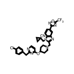 N#CC1(Cn2c(CN3CCC(Oc4ccnc(Cc5ccc(Cl)cc5)n4)CC3)nc3cc(-c4noc(C(F)(F)F)n4)ccc32)CC1